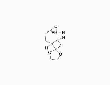 C1COC2(C[C@@H]3[C@@H]4O[C@@H]4CC[C@@H]32)O1